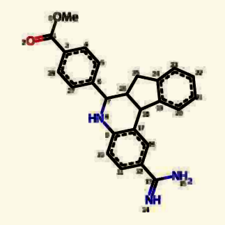 COC(=O)c1ccc(C2Nc3ccc(C(=N)N)cc3C3c4ccccc4CC23)cc1